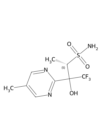 Cc1cnc(C(O)([C@H](C)S(N)(=O)=O)C(F)(F)F)nc1